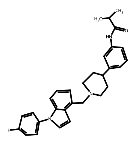 CC(C)C(=O)Nc1cccc(C2CCN(Cc3cccc4c3ccn4-c3ccc(F)cc3)CC2)c1